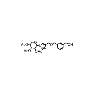 CC(=O)OC1COC(n2cc(COCc3cccc(CO)c3)nn2)C(OC(C)=O)C1OC(C)=O